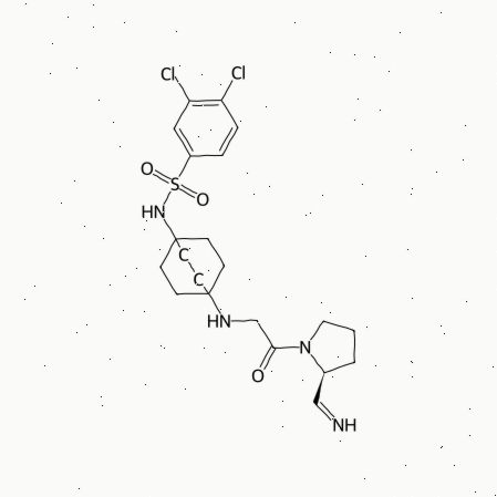 N=C[C@@H]1CCCN1C(=O)CNC12CCC(NS(=O)(=O)c3ccc(Cl)c(Cl)c3)(CC1)CC2